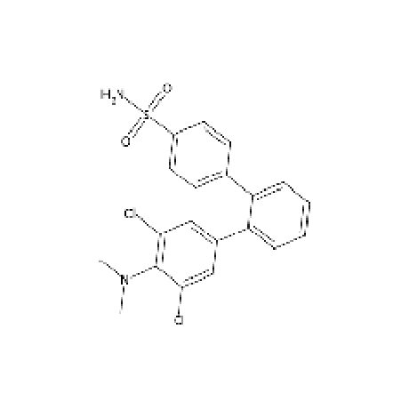 CN(C)c1c(Cl)cc(-c2ccccc2-c2ccc(S(N)(=O)=O)cc2)cc1Cl